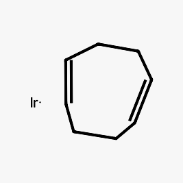 C1=CCCC=CCC1.[Ir]